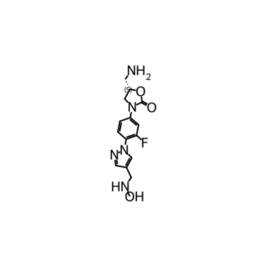 NC[C@H]1CN(c2ccc(-n3cc(CNO)cn3)c(F)c2)C(=O)O1